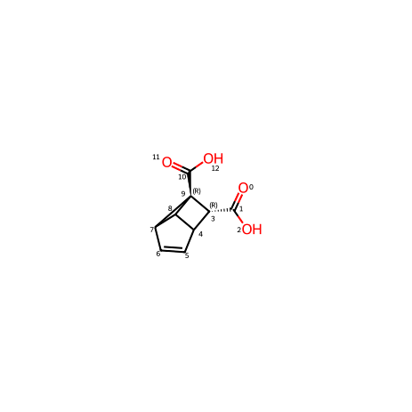 O=C(O)[C@@H]1C2C=CC3C2[C@]31C(=O)O